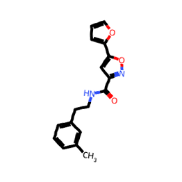 Cc1cccc(CCNC(=O)c2cc(-c3ccco3)on2)c1